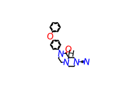 N#CN1CCN2CCN(c3ccc(Oc4ccccc4)cc3)C(=O)[C@H]2C1